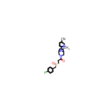 C[C@H]1CC2CN(C(=O)CC[S+]([O-])Cc3ccc(F)cc3)CC1N2c1ccc(C#N)cn1